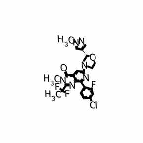 Cn1cc([C@H]2CN(c3cc4c(=O)n(C)c(C(C)(F)F)nc4c(-c4ccc(Cl)cc4F)n3)CCO2)cn1